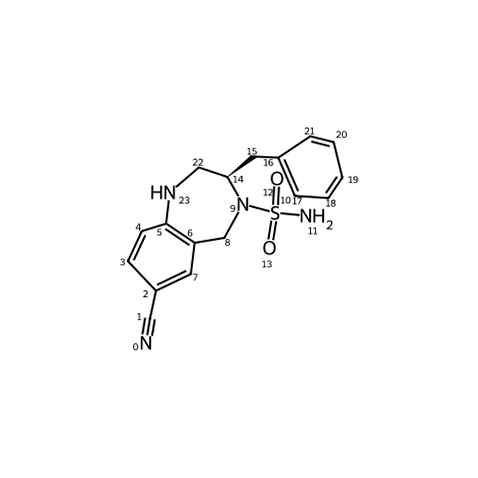 N#Cc1ccc2c(c1)CN(S(N)(=O)=O)[C@H](Cc1ccccc1)CN2